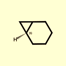 C1CC[C@H]2C[C]2C1